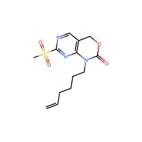 C=CCCCCN1C(=O)OCc2cnc(S(C)(=O)=O)nc21